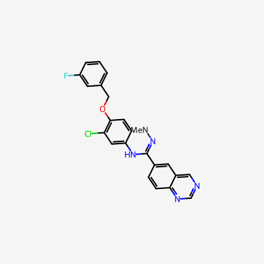 CNN=C(Nc1ccc(OCc2cccc(F)c2)c(Cl)c1)c1ccc2ncncc2c1